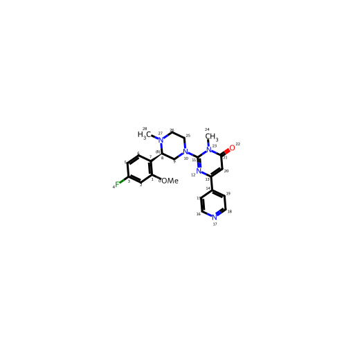 COc1cc(F)ccc1[C@@H]1CN(c2nc(-c3ccncc3)cc(=O)n2C)CCN1C